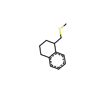 CS[CH]C1CCCc2ccccc21